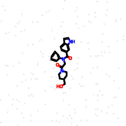 O=C(CN(C(=O)c1ccc2cc[nH]c2c1)c1ccccc1)N1CCC(CO)CC1